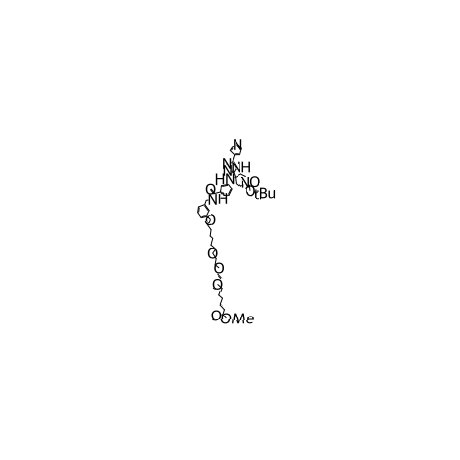 COC(=O)CCCCCOCCOCCOCCCCCCOc1cccc(CNC(=O)c2cccc(NC3(c4nnc(-c5ccncc5)[nH]4)CCN(C(=O)OC(C)(C)C)CC3)c2)c1